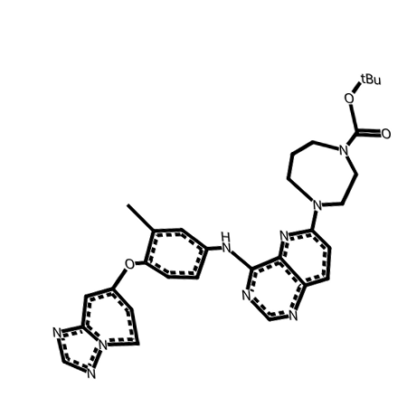 Cc1cc(Nc2ncnc3ccc(N4CCCN(C(=O)OC(C)(C)C)CC4)nc23)ccc1Oc1ccn2ncnc2c1